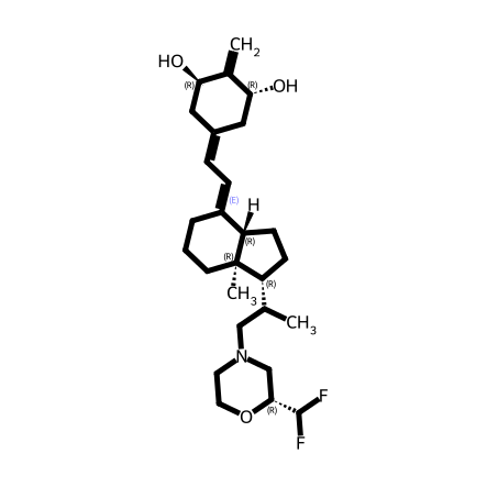 C=C1[C@H](O)CC(=C/C=C2\CCC[C@]3(C)[C@@H](C(C)CN4CCO[C@@H](C(F)F)C4)CC[C@@H]23)C[C@H]1O